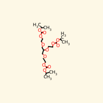 CC(C)OC(=O)OCCOCC(COCCOC(=O)OC(C)C)OCCOC(=O)OC(C)C